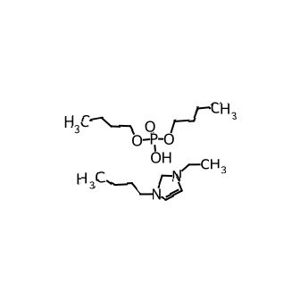 CCCCN1C=CN(CC)C1.CCCCOP(=O)(O)OCCCC